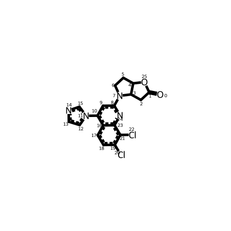 O=C1CC2C(CCN2c2cc(-n3ccnc3)c3ccc(Cl)c(Cl)c3n2)O1